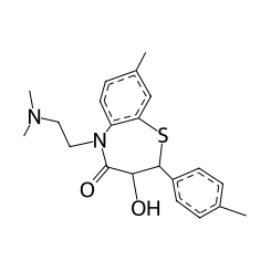 Cc1ccc(C2Sc3cc(C)ccc3N(CCN(C)C)C(=O)C2O)cc1